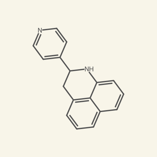 c1cc2c3c(cccc3c1)NC(c1ccncc1)C2